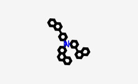 c1cc(-c2cccc3ccccc23)cc(N(c2ccc(-c3ccc4ccccc4c3)cc2)c2ccc3ccc4ccccc4c3c2)c1